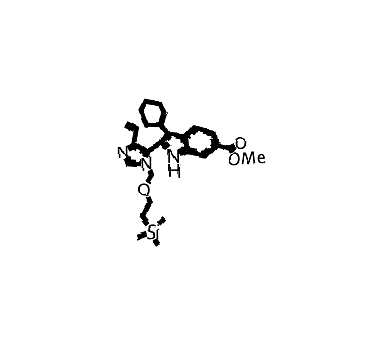 C=Cc1ncn(COCC[Si](C)(C)C)c1-c1[nH]c2cc(C(=O)OC)ccc2c1C1CCCCC1